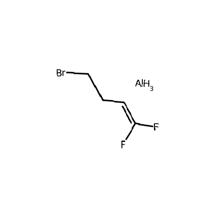 FC(F)=CCCBr.[AlH3]